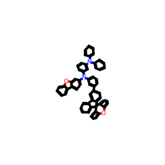 c1ccc(N(c2ccccc2)c2cccc(N(c3cccc(-c4ccc5c(c4)-c4ccccc4C54c5ccccc5Oc5ccccc54)c3)c3ccc4c(c3)oc3ccccc34)c2)cc1